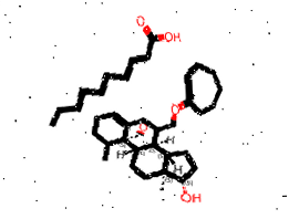 CC1CCC=C2CC(COC3=CCCCCC3)[C@H]3[C@@H]4CC[C@H](O)[C@@]4(C)CC[C@@H]3[C@]21C=O.CCCCCCCCCC(=O)O